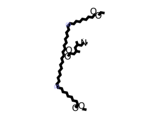 CCOC(=O)CCCCCCC/C=C\CCCCCCCCC(CCCCCCCC/C=C\CCCCCCCC(=O)OCC)OC(=O)CC(C)CC(C)CN(C)C